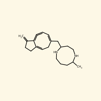 C=C1CC/C2=C/C/C(CC3CCNC(C)CCCN3)=C\C=C=C12